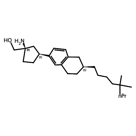 CCCC(C)(C)CCCC[C@H]1CCc2cc([C@H]3CC[C@](N)(CO)C3)ccc2C1